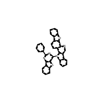 c1ccc(-c2nc(-n3c4ccccc4c4cnc5c(ccc6c7ccccc7oc65)c43)c3sc4ccccc4c3n2)cc1